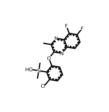 Cc1nc2c(F)c(F)ccc2nc1Oc1cccc(Cl)c1[Si](C)(C)O